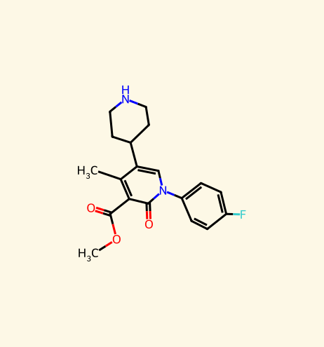 COC(=O)c1c(C)c(C2CCNCC2)cn(-c2ccc(F)cc2)c1=O